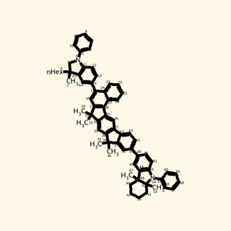 CCCCCCC1(C)CN(c2ccccc2)c2ccc(-c3cc4c(c5ccccc35)-c3cc5c(cc3C4(C)C)C(C)(C)c3cc(-c4ccc6c(c4)C4(C)CCCCC4(C)N6c4ccccc4)ccc3-5)cc21